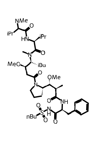 CCCCS(=O)(=O)NC(=O)[C@H](Cc1ccccc1)NC(=O)[C@H](C)[C@@H](OC)[C@@H]1CCCN1C(=O)C[C@@H](OC)[C@H]([C@@H](C)CC)N(C)C(=O)[C@@H](NC(=O)C(NC)C(C)C)C(C)C